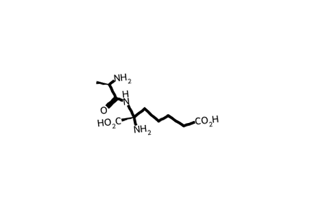 C[C@@H](N)C(=O)N[C@@](N)(CCCCC(=O)O)C(=O)O